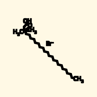 CCCCCCCCCCCCCCCCCCCCCC[N+](C)(C)CC(=O)O.[Br-]